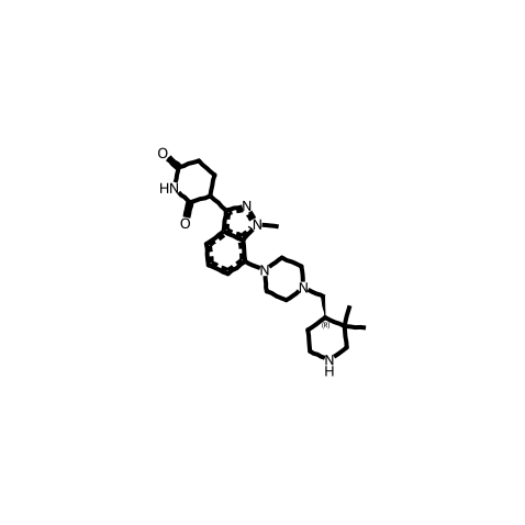 Cn1nc(C2CCC(=O)NC2=O)c2cccc(N3CCN(C[C@@H]4CCNCC4(C)C)CC3)c21